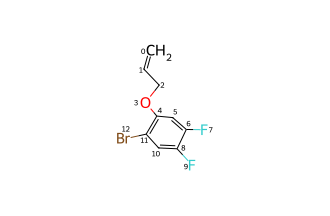 C=CCOc1cc(F)c(F)cc1Br